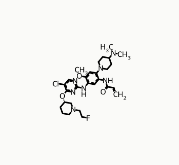 C=CC(=O)Nc1cc(Nc2ncc(Cl)c(O[C@H]3CCCN(CCF)C3)n2)c(OC)cc1N1CCC(N(C)C)CC1